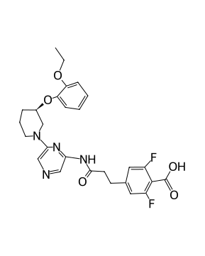 CCOc1ccccc1O[C@@H]1CCCN(c2cncc(NC(=O)CCc3cc(F)c(C(=O)O)c(F)c3)n2)C1